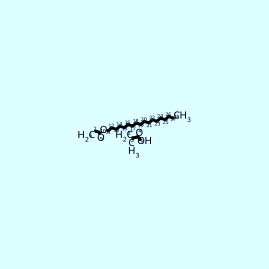 C=C(C)C(=O)O.C=CC(=O)OCCCCCCCCCCCCCCCCCC